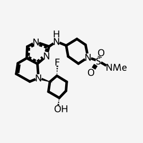 CNS(=O)(=O)N1CCC(Nc2ncc3c(n2)N([C@@H]2C[C@@H](O)CC[C@H]2F)CC=C3)CC1